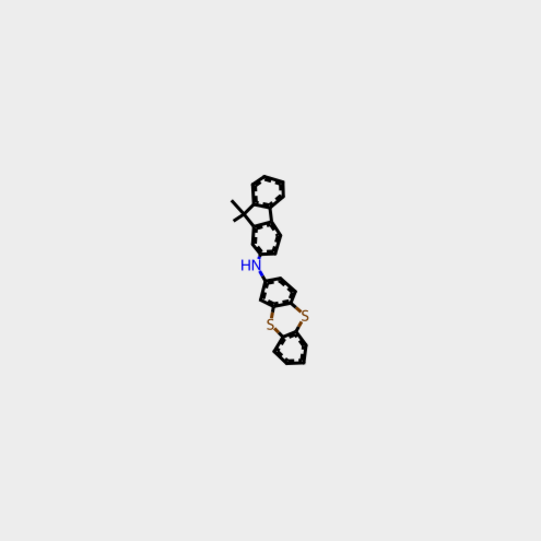 CC1(C)c2ccccc2-c2ccc(Nc3ccc4c(c3)Sc3ccccc3S4)cc21